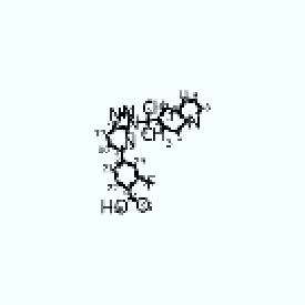 CC(C)(c1ccc2ncccc2c1)n1nnc2ccc(-c3ccc(C(=O)O)c(F)c3)nc21